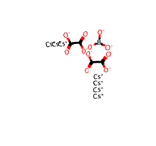 O=C([O-])C(=O)[O-].O=C([O-])C(=O)[O-].[Cs+].[Cs+].[Cs+].[Cs+].[Cs+].[Cs+].[Cs+].[O-]B([O-])[O-]